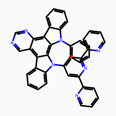 c1ccc(-n2c3ccccc3c3c4ncncc4c4c5ccccc5n(-c5cc(-c6ccccn6)nc(-c6ccccn6)c5)c4c32)cc1